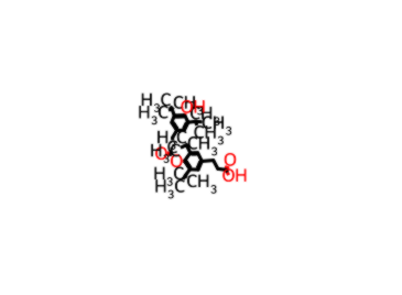 CC(C)(C)c1cc(CCC(=O)Oc2c(C(C)(C)C)cc(CCC(=O)O)cc2C(C)(C)C)cc(C(C)(C)C)c1O